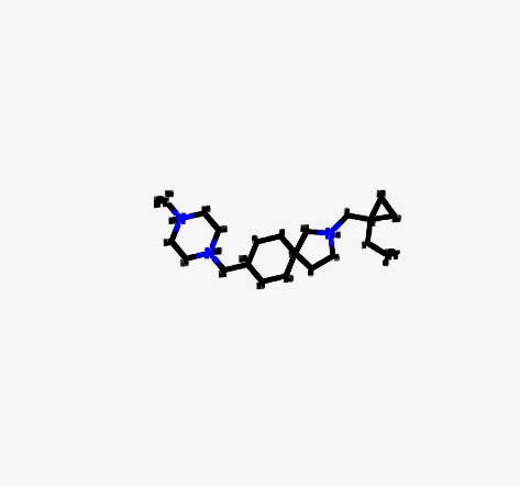 CC(C)CC1(CN2CCC3(CCC(CN4CCN(C(C)C)CC4)CC3)C2)CC1